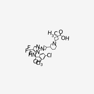 C[C@@H](Nc1nc(N2CC(C3CCCN(C4CC(C)(C(=O)O)C4)C3)C2)ncc1C(F)(F)F)c1ccc(Cl)cc1Cl